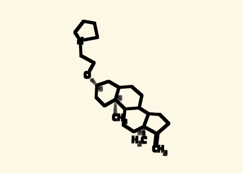 C=C1CCC2C3CCC4C[C@@H](OCCN5CCCC5)CC[C@]4(C)C3CC[C@]12C